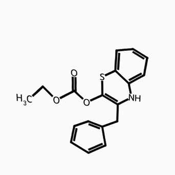 CCOC(=O)OC1=C(Cc2ccccc2)Nc2ccccc2S1